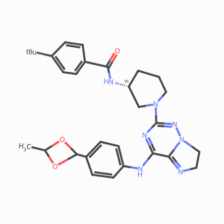 CC1OC(c2ccc(NC3=NC(N4CCC[C@@H](NC(=O)c5ccc(C(C)(C)C)cc5)C4)=NN4CCN=C34)cc2)O1